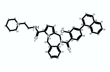 O=C(NCCN1CCCCC1)c1ccc2n1Cc1ccccc1N(C(=O)c1ccc(-c3cccc4ccccc34)cc1Cl)C2